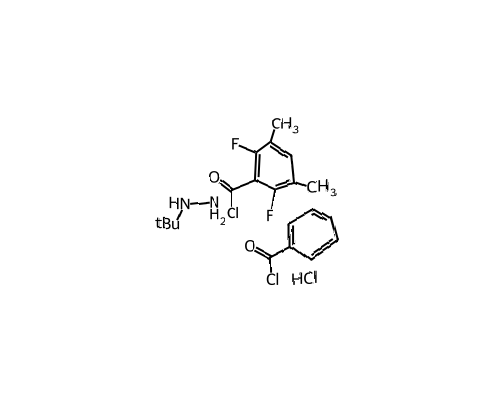 CC(C)(C)NN.Cc1cc(C)c(F)c(C(=O)Cl)c1F.Cl.O=C(Cl)c1ccccc1